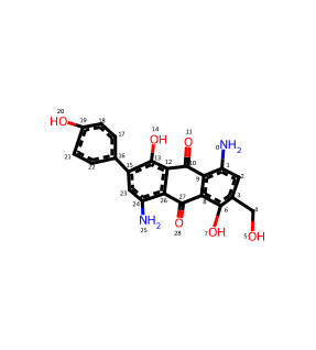 Nc1cc(CO)c(O)c2c1C(=O)c1c(O)c(-c3ccc(O)cc3)cc(N)c1C2=O